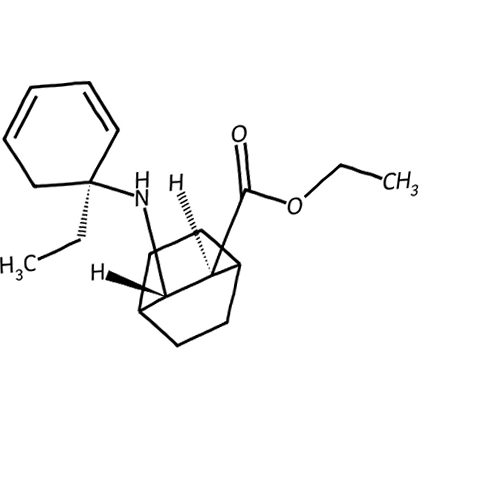 CCOC(=O)[C@H]1C2CCC(CC2)[C@@H]1N[C@]1(CC)C=CC=CC1